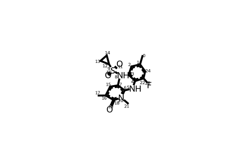 Cc1ccc(Nc2c(NS(=O)(=O)C3CC3)cc(C)c(=O)n2C)c(F)c1